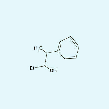 [CH2]CC(O)C(C)c1ccccc1